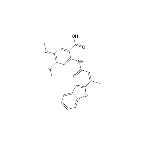 COc1cc(NC(=O)/C=C(/C)c2cc3ccccc3o2)c(C(=O)O)cc1OC